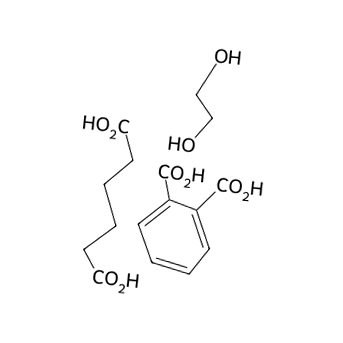 O=C(O)CCCCC(=O)O.O=C(O)c1ccccc1C(=O)O.OCCO